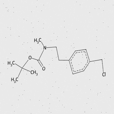 CN(CCc1ccc(CCl)cc1)C(=O)OC(C)(C)C